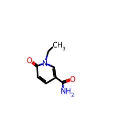 CCn1cc(C(N)=O)ccc1=O